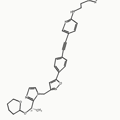 C[C@H](OC1CCCCO1)c1nccn1Cc1cc(-c2ccc(C#Cc3ccc(NCCn4cncn4)nc3)cc2)on1